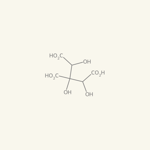 O=C(O)C(O)C(O)(C(=O)O)C(O)C(=O)O